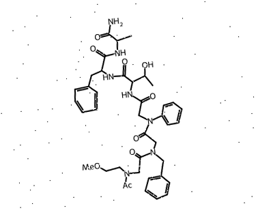 COCCN(CC(=O)N(CC(=O)N(CC(=O)NC(C(=O)NC(Cc1ccccc1)C(=O)NC(C)C(N)=O)C(C)O)c1ccccc1)Cc1ccccc1)C(C)=O